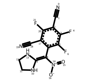 N#Cc1c(F)c(F)c(C(=C2NCCN2)[N+](=O)[O-])c(C#N)c1F